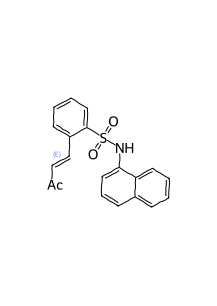 CC(=O)/C=C/c1ccccc1S(=O)(=O)Nc1cccc2ccccc12